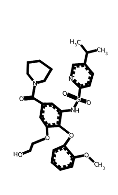 COc1ccccc1Oc1c(NS(=O)(=O)c2ccc(C(C)C)cn2)cc(C(=O)N2CCCCC2)cc1OCCO